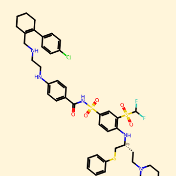 O=C(NS(=O)(=O)c1ccc(N[C@H](CCN2CCOCC2)CSc2ccccc2)c(S(=O)(=O)C(F)F)c1)c1ccc(NCCNCC2=C(c3ccc(Cl)cc3)CCCC2)cc1